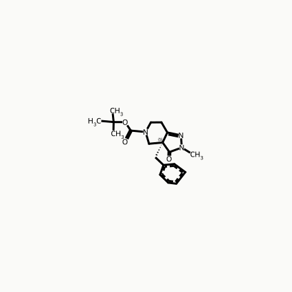 CN1N=C2CCN(C(=O)OC(C)(C)C)C[C@]2(Cc2ccccc2)C1=O